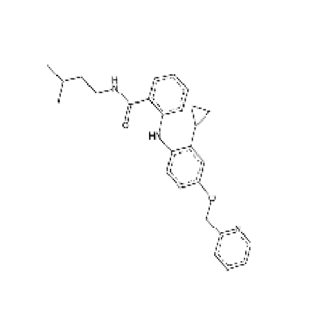 CC(C)CCNC(=O)c1ccccc1Nc1ccc(OCc2ccccn2)cc1C1CC1